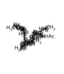 C=CC(=O)NCCCC[C@H](NC(=O)[C@@H](NC(C)=O)C(C)C)C(=O)N[C@@H](CC(C)C)C(=O)NC(C)(C)C(=O)N[C@H](C(=O)N[C@@H](CCCCNC(=O)c1nnn(-c2ccc(N(C)C)cc2)n1)C(=O)N[C@@H](CC(C)C)C(N)=O)C(C)C